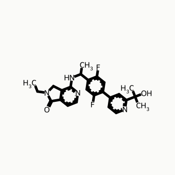 CCN1Cc2c(ccnc2NC(C)c2cc(F)c(-c3ccnc(C(C)(C)O)c3)cc2F)C1=O